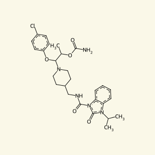 CC(OC(N)=O)C(Oc1ccc(Cl)cc1)N1CCC(CNC(=O)n2c(=O)n(C(C)C)c3ccccc32)CC1